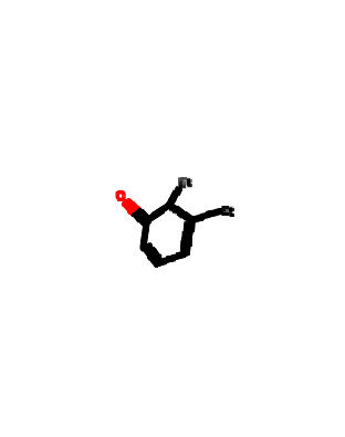 CCC1=CC=CC(=O)C1CC